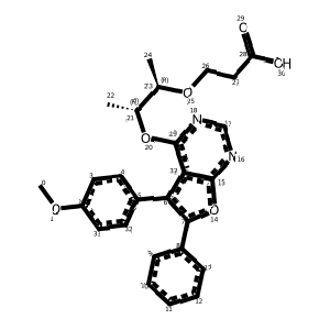 COc1ccc(-c2c(-c3ccccc3)oc3ncnc(O[C@H](C)[C@@H](C)OCCC(=O)O)c23)cc1